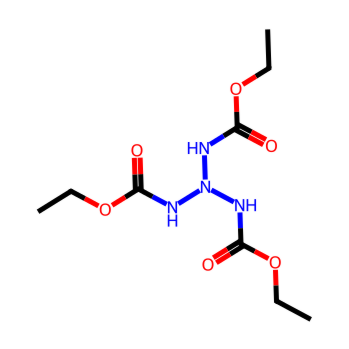 CCOC(=O)NN(NC(=O)OCC)NC(=O)OCC